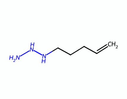 C=CCCCNNN